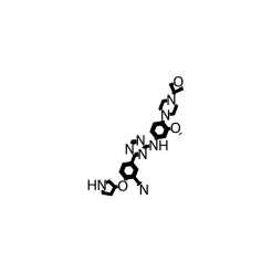 COc1cc(Nc2ncnc(-c3ccc(OC4CCNC4)c(C#N)c3)n2)ccc1N1CCN(C2COC2)CC1